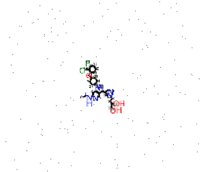 CCNc1cc2c(cn1)c(-c1cnn(CC[C@@H](O)CO)c1)nn2C1CCC(Oc2cccc(F)c2Cl)CC1